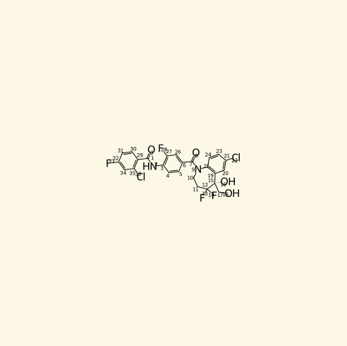 O=C(Nc1ccc(C(=O)N2CCC(F)(F)[C@](O)(CO)c3cc(Cl)ccc32)cc1F)c1ccc(F)cc1Cl